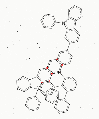 c1ccc(-c2ccccc2-c2c(-c3ccccc3)cccc2N(c2ccc(-c3ccc4c5ccccc5n(-c5ccccc5)c4c3)cc2)c2ccc3c(c2)C(c2ccccc2)(c2ccccc2)c2ccccc2-3)cc1